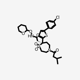 CC(C)CC(=O)N1CC[C@](CC(=O)NOC2CCCCO2)(c2ccc(-c3ccc(Cl)cc3)s2)S(=O)(=O)CC1